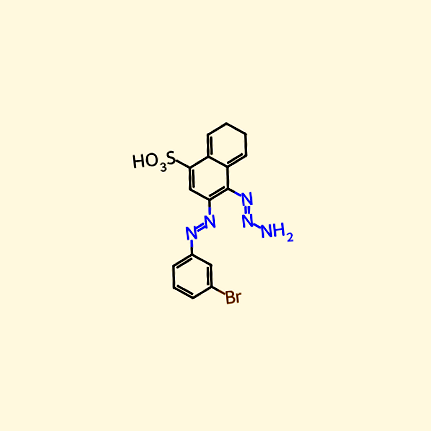 NN=Nc1c(/N=N/c2cccc(Br)c2)cc(S(=O)(=O)O)c2c1=CCCC=2